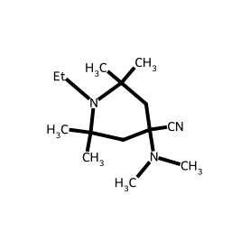 CCN1C(C)(C)CC(C#N)(N(C)C)CC1(C)C